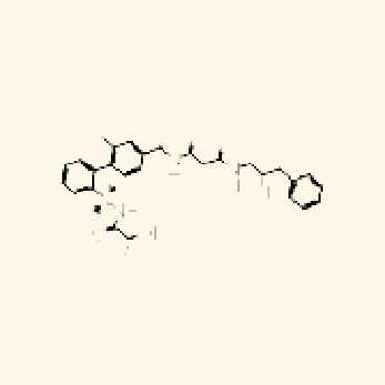 C[C@H](O)C(=O)NS(=O)(=O)c1ccccc1-c1ccc(CNC(=O)CC(=O)NC[C@H](S)Cc2ccccc2)cc1Cl